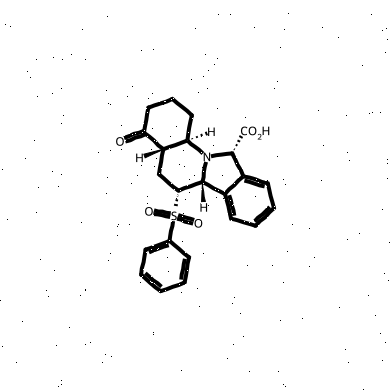 O=C1CCC[C@@H]2[C@@H]1C[C@@H](S(=O)(=O)c1ccccc1)[C@H]1c3ccccc3[C@@H](C(=O)O)N21